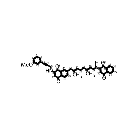 COc1cccc(C#CCNC2=CC(=O)c3ccc(C/C(C)=C/CC/C(C)=C/CNC4=CC(=O)c5ccccc5C4=O)cc3C2=O)c1